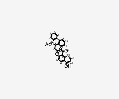 CC(=O)N(c1ccccc1)C1CC(C)N(C(=O)c2cccc3c(O)ccnc23)c2ccccc21